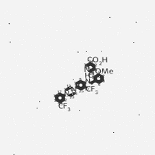 COc1cccc(CNc2ccc(N3CCN(c4cccc(C(F)(F)F)c4)CC3)cc2C(F)(F)F)c1Oc1ccc(C(=O)O)cn1